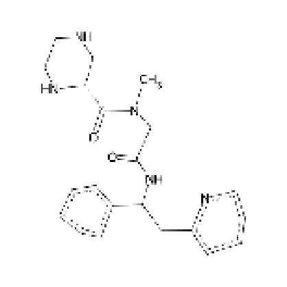 CN(CC(=O)NC(Cc1ccccn1)c1ccccc1)C(=O)[C@H]1CNCCN1